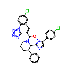 O=C(C=Cc1cc(Cl)ccc1-n1cnnn1)N1CCCC(c2ccccc2)C1c1nc(-c2ccc(Cl)cc2)c[nH]1